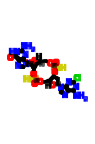 Nc1nc2c(ncn2[C@@H]2O[C@@H]3CO[P@@](=O)(S)OC4C[C@H](n5cnc6c(N)nc(Cl)nc65)O[C@@H]4CO[P@](=O)(S)OC2C3O)c(=O)[nH]1